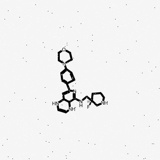 F[C@@]1(CNC2=NC(c3ccc(N4CCOCC4)cc3)=CC3NC=CNC23)CCCNC1